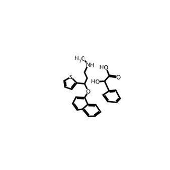 CNCCC(Oc1cccc2ccccc12)c1cccs1.O=C(O)C(O)c1ccccc1